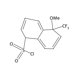 COC1(C(F)(F)F)C=CC=C2C1=CC=CC2S(=O)(=O)Cl